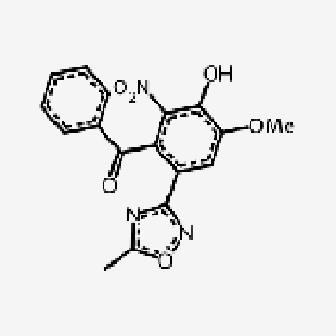 COc1cc(-c2noc(C)n2)c(C(=O)c2ccccc2)c([N+](=O)[O-])c1O